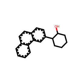 OC1CCCCC1c1ccc2ccc3ccccc3c2c1